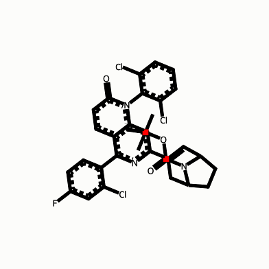 CC(C)(C)OC(=O)N1C2C=C(c3cc4c(ccc(=O)n4-c4c(Cl)cccc4Cl)c(-c4ccc(F)cc4Cl)n3)CC1CC2